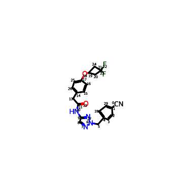 N#Cc1ccc(Cn2ncc(NC(=O)Cc3ccc(OC4CC(F)(F)C4)cc3)n2)cc1